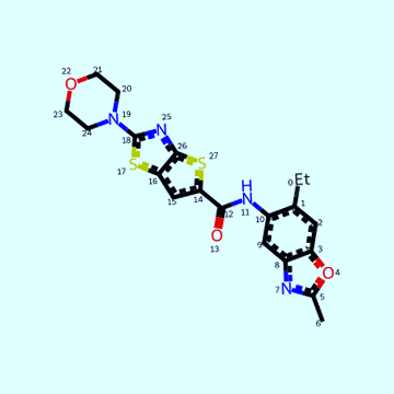 CCc1cc2oc(C)nc2cc1NC(=O)c1cc2sc(N3CCOCC3)nc2s1